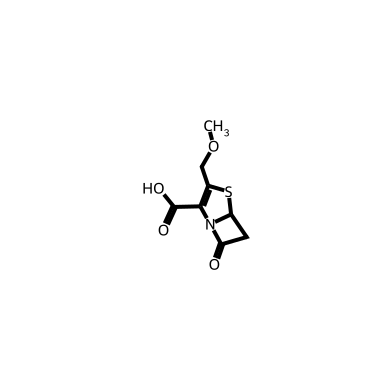 COCC1=C(C(=O)O)N2C(=O)CC2S1